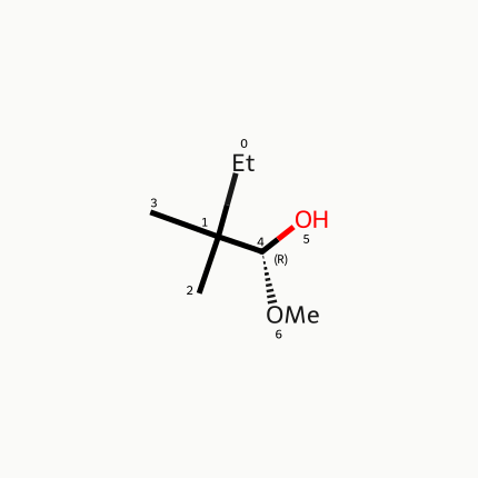 CCC(C)(C)[C@H](O)OC